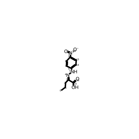 CCCC(=NNc1ccc([N+](=O)[O-])cc1)C(=O)O